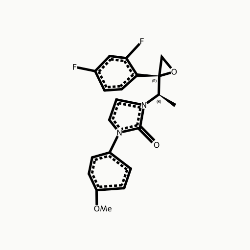 COc1ccc(-n2ccn([C@H](C)[C@]3(c4ccc(F)cc4F)CO3)c2=O)cc1